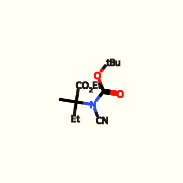 CCOC(=O)C(C)(CC)N(C#N)C(=O)OC(C)(C)C